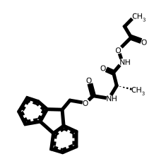 CCC(=O)ONC(=O)[C@H](C)NC(=O)OCC1c2ccccc2-c2ccccc21